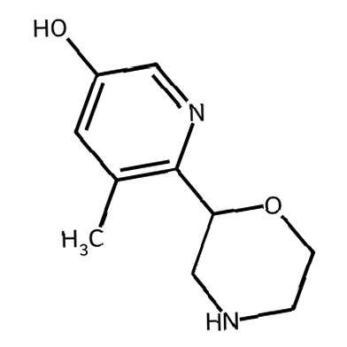 Cc1cc(O)cnc1C1CNCCO1